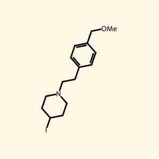 COCc1ccc(CCN2CCC(I)CC2)cc1